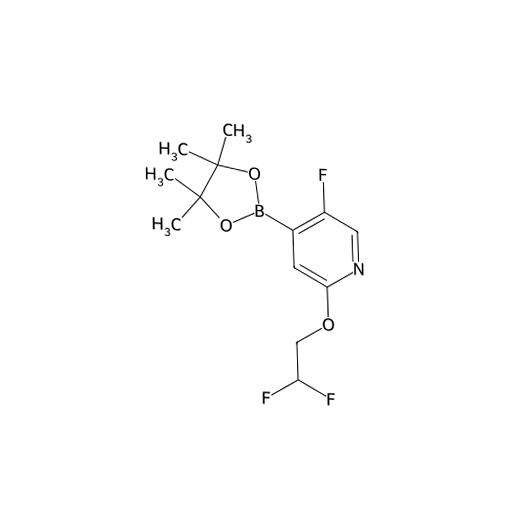 CC1(C)OB(c2cc(OCC(F)F)ncc2F)OC1(C)C